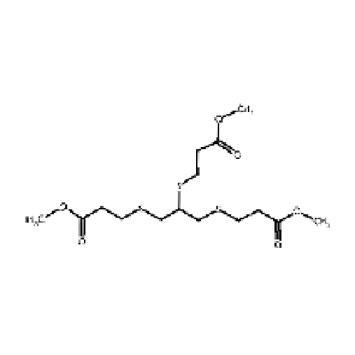 COC(=O)CCSCC(CSCCC(=O)OC)SCCC(=O)OC